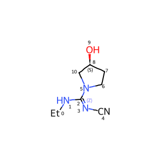 CCN/C(=N/C#N)N1CC[C@H](O)C1